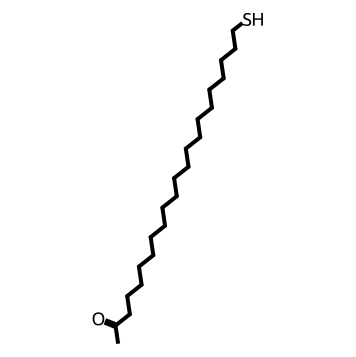 CC(=O)CCCCCCCCCCCCCCCCCCCCS